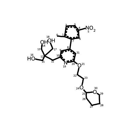 Cc1ccc([N+](=O)[O-])cc1-c1cc(CC(CO)(CO)CO)nc(OCCOC2CCCCO2)c1